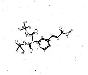 COC(=O)/C=C/c1ccnc(N(C(=O)OC(C)(C)C)C(=O)OC(C)(C)C)c1